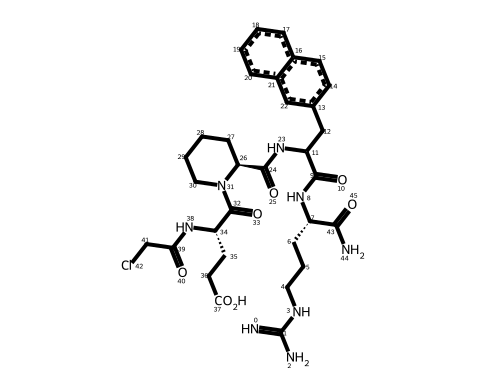 N=C(N)NCCC[C@H](NC(=O)C(Cc1ccc2ccccc2c1)NC(=O)[C@@H]1CCCCN1C(=O)[C@H](CCC(=O)O)NC(=O)CCl)C(N)=O